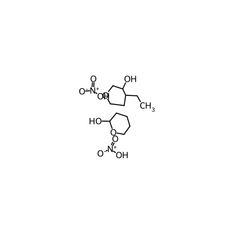 CCC1CCOCC1O.O=[N+]([O-])O.O=[N+]([O-])O.OC1CCCCO1